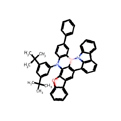 CC(C)(C)c1cc(N2c3ccc(-c4ccccc4)cc3B3c4c(cc5c(oc6ccccc65)c42)-c2cccc4c5ccccc5n3c24)cc(C(C)(C)C)c1